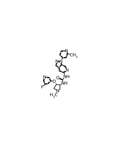 Cc1cc(-n2ncc3cc(NC(=O)N[C@H]4CN(C)C[C@@H]4Oc4cncc(F)c4)ncc32)ccn1